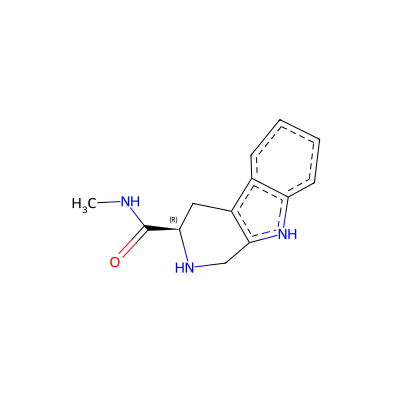 CNC(=O)[C@H]1Cc2c([nH]c3ccccc23)CN1